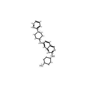 O[C@H]1CC[C@H](Nc2ncc3ccc(OC4CCN(c5cccnn5)CC4)cc3n2)CC1